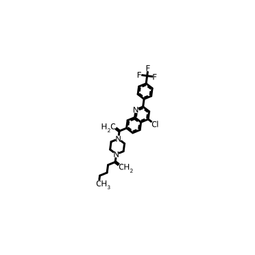 C=C(CCCC)N1CCN(C(=C)c2ccc3c(Cl)cc(-c4ccc(C(F)(F)F)cc4)nc3c2)CC1